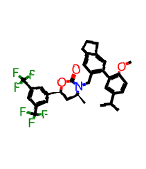 COc1ccc(C(C)C)cc1-c1cc2c(cc1CN1C(=O)O[C@H](c3cc(C(F)(F)F)cc(C(F)(F)F)c3)C[C@@H]1C)CCC2